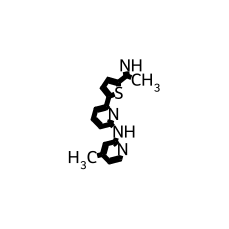 CC(=N)c1ccc(-c2cccc(Nc3cc(C)ccn3)n2)s1